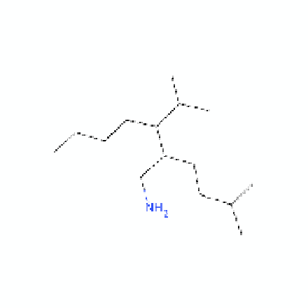 CCCCC(C(C)C)C(CN)CCC(C)C